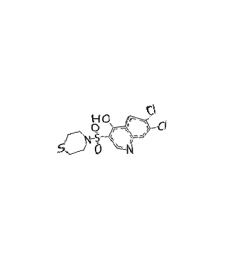 O=S(=O)(c1cnc2cc(Cl)c(Cl)cc2c1O)N1CCSCC1